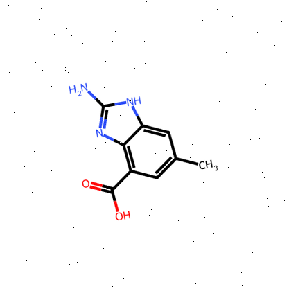 Cc1cc(C(=O)O)c2nc(N)[nH]c2c1